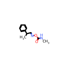 CNC(=O)O/N=C/C(C)c1ccccc1